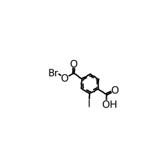 O=C(OBr)c1ccc(C(=O)O)c(I)c1